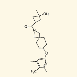 Cc1cc(OC2CCC3(CC2)CN(C(=O)C2CC(C)(O)C2)C3)nc(C)c1C(F)(F)F